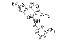 CCc1ccc(-c2noc(N)c2C(=O)NCc2cccc(C(F)(F)F)c2)s1